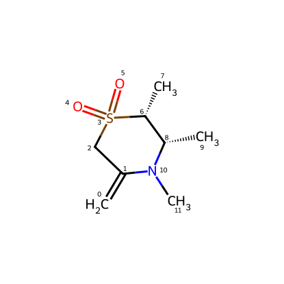 C=C1CS(=O)(=O)[C@H](C)[C@H](C)N1C